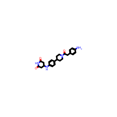 Nc1ccc(CC(=O)N2CCC(c3ccc(NC4CC(=O)NC(=O)C4)cc3)CC2)cc1